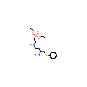 CCOP(=O)(CCN(C)CC[C@@H](N)CSc1ccccc1)OCC